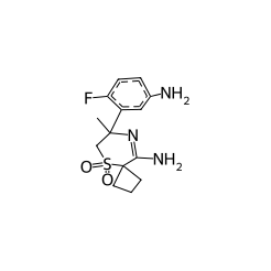 CC1(c2cc(N)ccc2F)CS(=O)(=O)C2(CCC2)C(N)=N1